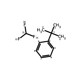 CC(C)(C)c1cc[c]cc1.F[C](F)F